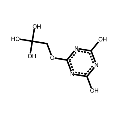 Oc1nc(O)nc(OCC(O)(O)O)n1